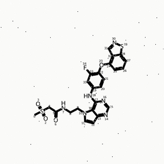 CS(=O)(=O)CC(=O)NCCn1ccc2ncnc(Nc3ccc(Oc4cccc5sncc45)c(F)c3)c21